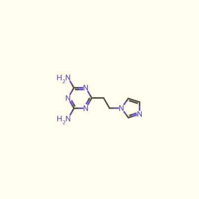 Nc1nc(N)nc(CCn2ccnc2)n1